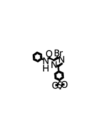 CS(=O)(=O)c1ccc(-c2cnc(Br)c(C(=O)Nc3ccccc3)n2)cc1